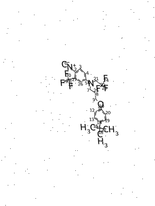 [C-]#[N+]c1ccc(N(CCCOc2ccc(C(C)(C)C)cc2)CC(F)(F)F)cc1C(F)(F)F